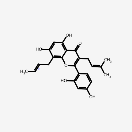 C/C=C/Cc1c(O)cc(O)c2c(=O)c(CC=C(C)C)c(-c3ccc(O)cc3O)oc12